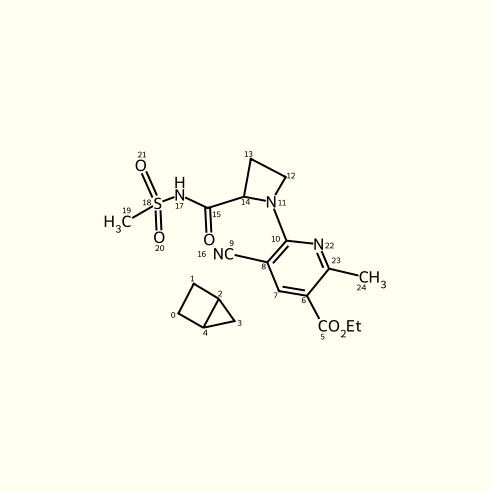 C1CC2CC12.CCOC(=O)c1cc(C#N)c(N2CCC2C(=O)NS(C)(=O)=O)nc1C